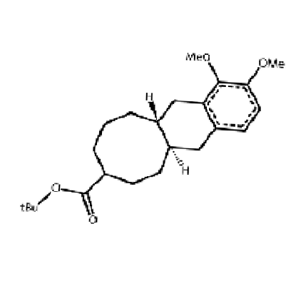 COc1ccc2c(c1OC)C[C@H]1CCCC(C(=O)OC(C)(C)C)CC[C@@H]1C2